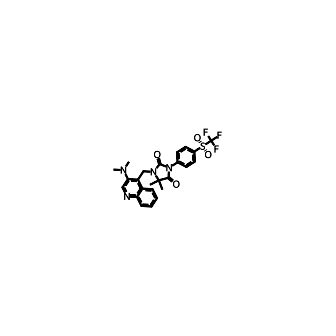 CN(C)c1cnc2ccccc2c1CN1C(=O)N(c2ccc(S(=O)(=O)C(F)(F)F)cc2)C(=O)C1(C)C